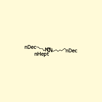 CCCCCCCCCCCCCCCCn1cc[n+](CCCCCCCCCCCCCC)c1CCCCCCC